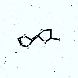 IC1CSC(=C2SC=CS2)S1